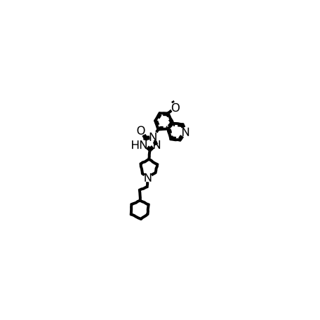 COc1ccc(-n2nc(C3CCN(CCC4CCCCC4)CC3)[nH]c2=O)c2ccncc12